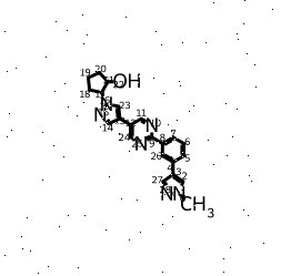 Cn1cc(-c2cccc(-c3ncc(-c4cnn(C5CCCC5O)c4)cn3)c2)cn1